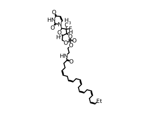 CC/C=C\C/C=C\C/C=C\C/C=C\C/C=C\C/C=C\CCC(=O)NCCOP1(=O)OC[C@H]2O[C@@H](n3ccc(=O)[nH]c3=O)[C@](C)(F)[C@@H]2O1